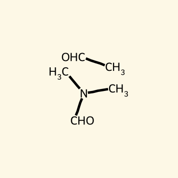 CC=O.CN(C)C=O